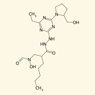 CCCCCC(CN(O)C=O)C(=O)NNc1nc(CC)nc(N2CCCC2CO)n1